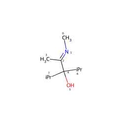 CN=C(C)C(O)(C(C)C)C(C)C